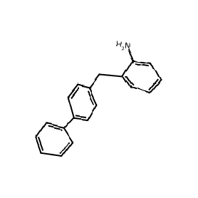 Nc1ccccc1Cc1ccc(-c2ccccc2)cc1